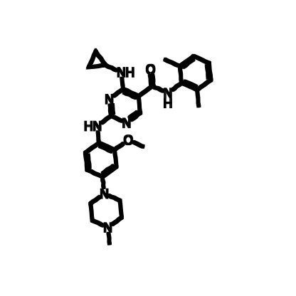 COc1cc(N2CCN(C)CC2)ccc1Nc1ncc(C(=O)Nc2c(C)cccc2C)c(NC2CC2)n1